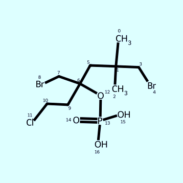 CC(C)(CBr)CC(CBr)(CCCl)OP(=O)(O)O